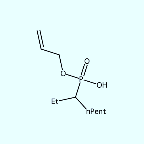 C=CCOP(=O)(O)C(CC)CCCCC